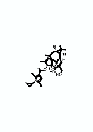 CC1=CC23C(=O)[C@@H](C=C(CO)[C@@H](O)[C@]2(O)[C@H]1OC(=O)c1cc(C)n(C2CC2)c1C)[C@H]1[C@@H](CC3C)C1(C)C